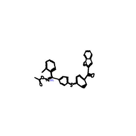 CC(=O)O/N=C(/c1ccc(Sc2ccc(C(=O)c3cc4ccccc4o3)cc2)cc1)c1ccccc1C